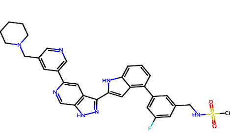 CS(=O)(=O)NCc1cc(F)cc(-c2cccc3[nH]c(-c4n[nH]c5cnc(-c6cncc(CN7CCCCC7)c6)cc45)cc23)c1